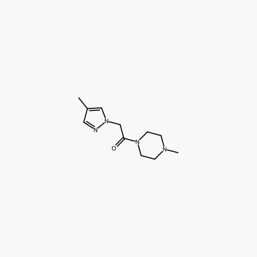 Cc1cnn(CC(=O)N2CCN(C)CC2)c1